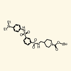 CCN(CC)c1ccc(NS(=O)(=O)c2cccc(S(=O)(=O)NCC3CCN(C(=O)OC(C)(C)C)CC3)c2)cc1